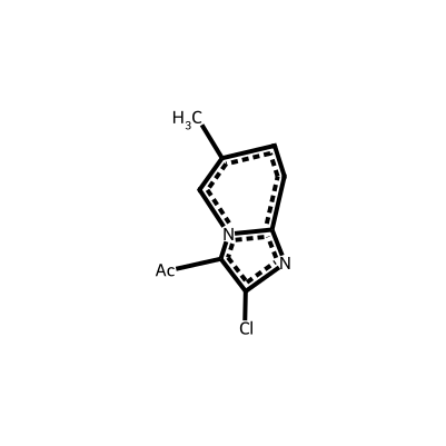 CC(=O)c1c(Cl)nc2ccc(C)cn12